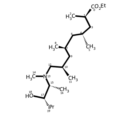 CCOC(=O)[C@H](C)C[C@H](C)C[C@H](C)C[C@@H](C)CN(C)[C@H](C)[C@@H](O)C(C)C